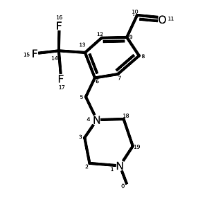 CN1CCN(Cc2ccc([C]=O)cc2C(F)(F)F)CC1